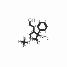 NC1(c2ccccc2)C(=O)N(OC(F)(F)F)CC1CCO